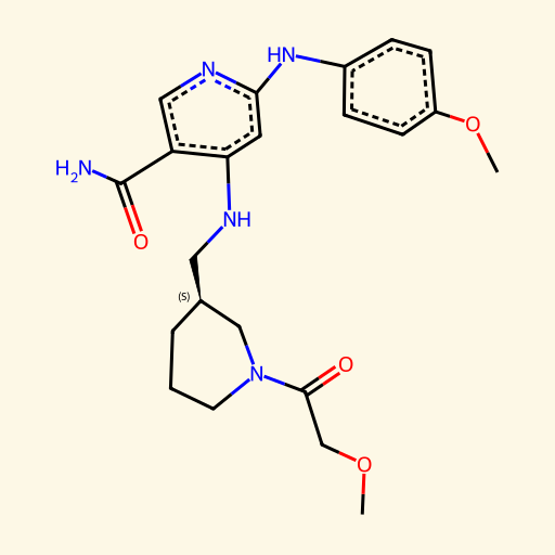 COCC(=O)N1CCC[C@@H](CNc2cc(Nc3ccc(OC)cc3)ncc2C(N)=O)C1